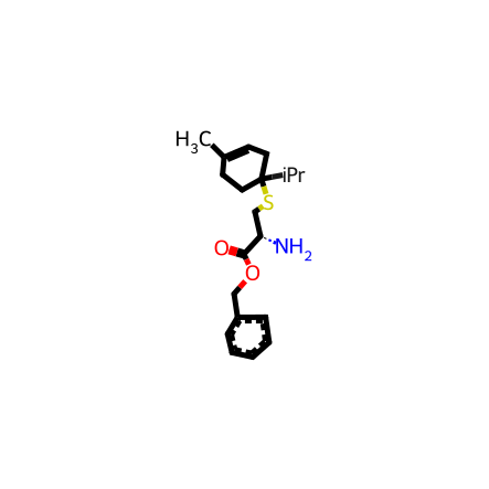 CC1=CCC(SC[C@H](N)C(=O)OCc2ccccc2)(C(C)C)CC1